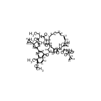 CCN(C(=O)N[C@H]1CCCCC/C=C\[C@@H]2C[C@@]2(C(=O)NS(=O)(=O)C2CC2)NC(=O)[C@@H]2C[C@@H](Oc3cc(C4=NC(C5CC5)CS4)nc4c(C)c(OC)ccc34)CN2C1=O)C(C)C